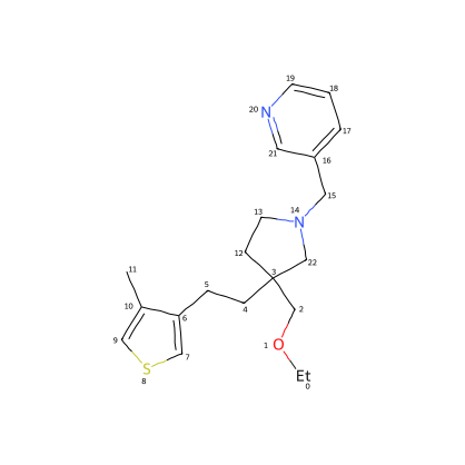 CCOCC1(CCc2cscc2C)CCN(Cc2cccnc2)C1